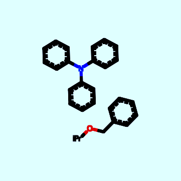 CC(C)OCc1ccccc1.c1ccc(N(c2ccccc2)c2ccccc2)cc1